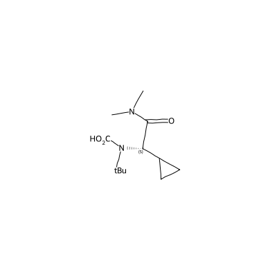 CN(C)C(=O)[C@H](C1CC1)N(C(=O)O)C(C)(C)C